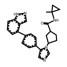 CC1(NC(=O)C2CCC(n3cncc3-c3ccc(-c4cccc5[nH]ncc45)cc3)C2)CC1